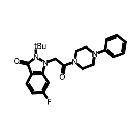 CC(C)(C)n1c(=O)c2ccc(F)cc2n1CC(=O)N1CCN(c2ccccc2)CC1